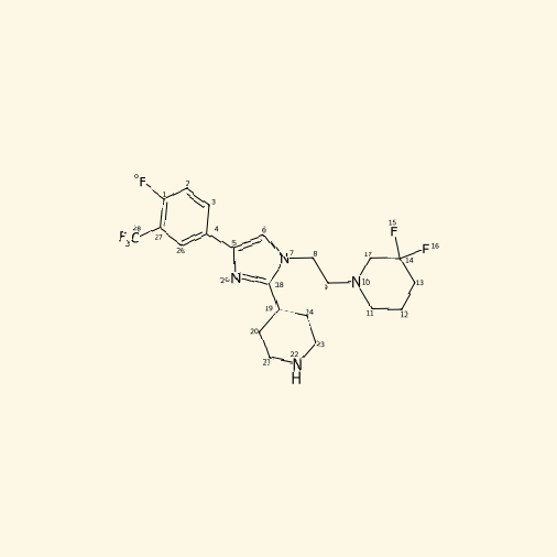 Fc1ccc(-c2cn(CCN3CCCC(F)(F)C3)c(C3CCNCC3)n2)cc1C(F)(F)F